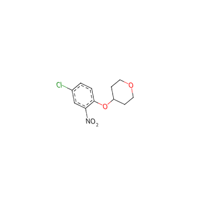 O=[N+]([O-])c1cc(Cl)ccc1OC1CCOCC1